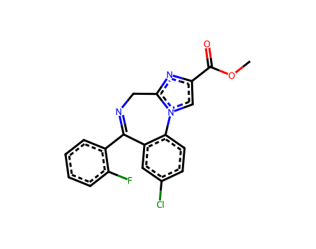 COC(=O)c1cn2c(n1)CN=C(c1ccccc1F)c1cc(Cl)ccc1-2